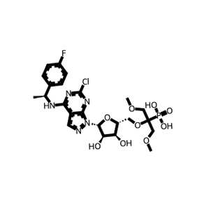 COCC(COC)(OC[C@H]1O[C@@H](n2ncc3c(N[C@@H](C)c4ccc(F)cc4)nc(Cl)nc32)[C@H](O)[C@@H]1O)P(=O)(O)O